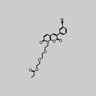 CCC(=O)OCCOCCOCCn1c(=O)ccc2cc(-c3cccc(C#N)c3)c(=O)oc21